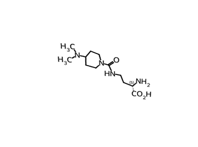 CN(C)C1CCN(C(=O)NCC[C@H](N)C(=O)O)CC1